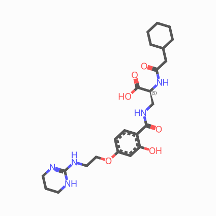 O=C(CC1CCCCC1)N[C@@H](CNC(=O)c1ccc(OCCNC2=NCCCN2)cc1O)C(=O)O